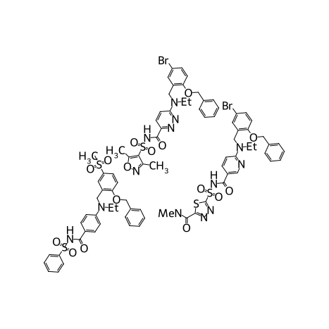 CCN(Cc1cc(Br)ccc1OCc1ccccc1)c1ccc(C(=O)NS(=O)(=O)c2c(C)noc2C)nn1.CCN(Cc1cc(Br)ccc1OCc1ccccc1)c1ccc(C(=O)NS(=O)(=O)c2nnc(C(=O)NC)s2)cn1.CCN(Cc1cc(S(C)(=O)=O)ccc1OCc1ccccc1)c1ccc(C(=O)NS(=O)(=O)c2ccccc2)cc1